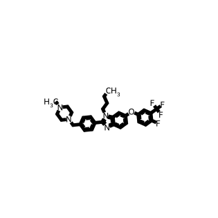 CCCCn1c(-c2ccc(CN3CCN(C)CC3)cc2)nc2ccc(Oc3ccc(F)c(C(F)(F)F)c3)cc21